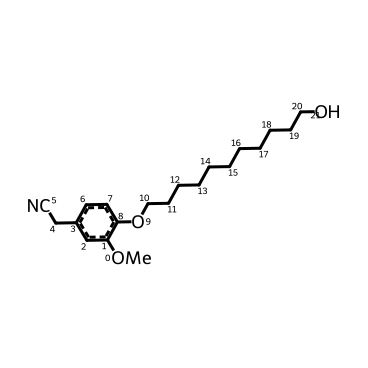 COc1cc(CC#N)ccc1OCCCCCCCCCCCO